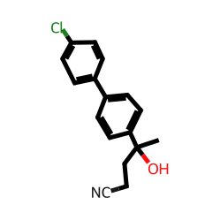 CC(O)(CCC#N)c1ccc(-c2ccc(Cl)cc2)cc1